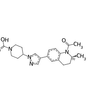 CC(=O)N1c2ccc(-c3cnn(C4CCN(C(=O)O)CC4)c3)cc2CC[C@@H]1C